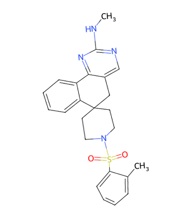 CNc1ncc2c(n1)-c1ccccc1C1(CCN(S(=O)(=O)c3ccccc3C)CC1)C2